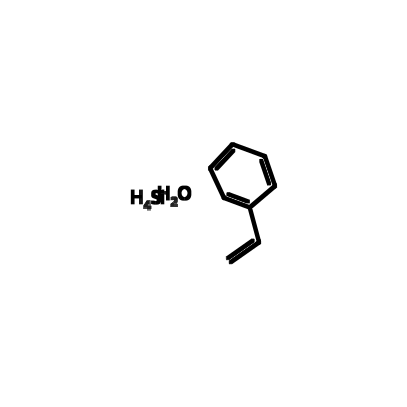 C=Cc1ccccc1.O.[SiH4]